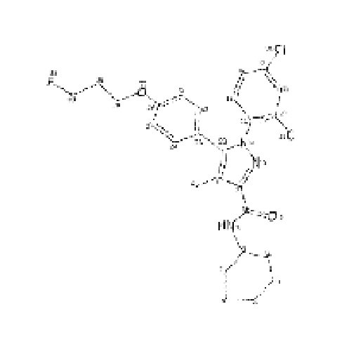 Cc1c(C(=O)NC2CCCCC2)nn(-c2ccc(Cl)cc2Cl)c1-c1ccc(OCCCF)cc1